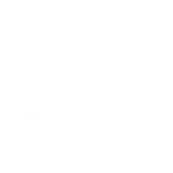 COc1c2ccccc2c(OC)c2cc(COC(=O)N(C)C)ccc12